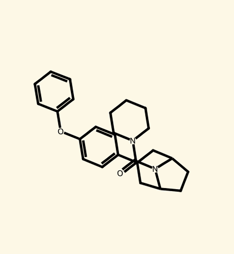 O=C(N1CCCCC1)N1C2CCC1CC(c1ccc(Oc3ccccc3)cc1)C2